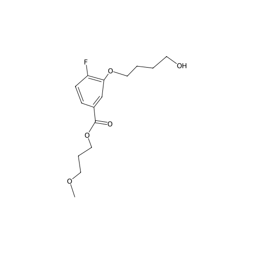 COCCCOC(=O)c1ccc(F)c(OCCCCO)c1